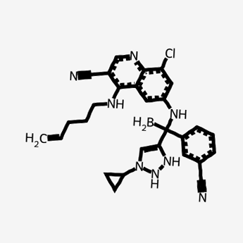 BC(Nc1cc(Cl)c2ncc(C#N)c(NCCCC=C)c2c1)(C1=CN(C2CC2)NN1)c1cccc(C#N)c1